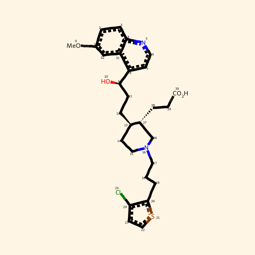 COc1ccc2nccc([C@H](O)CC[C@@H]3CCN(CCCc4sccc4Cl)C[C@H]3CCC(=O)O)c2c1